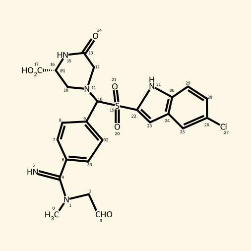 CN(CC=O)C(=N)c1ccc(C(N2CC(=O)N[C@@H](C(=O)O)C2)S(=O)(=O)c2cc3cc(Cl)ccc3[nH]2)cc1